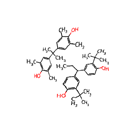 CCC(c1ccc(O)c(C(C)(C)C)c1)c1ccc(O)c(C(C)(C)C)c1.Cc1cc(C(C)(C)c2cc(C)c(O)c(C)c2)cc(C)c1O